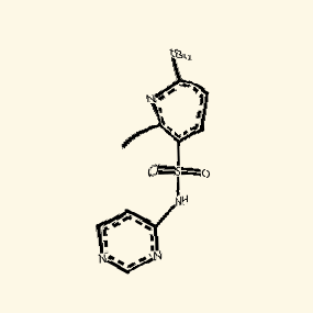 Cc1nc(C(C)(C)C)ccc1S(=O)(=O)Nc1ccncn1